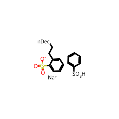 CCCCCCCCCCCCc1ccccc1S(=O)(=O)[O-].O=S(=O)(O)c1ccccc1.[Na+]